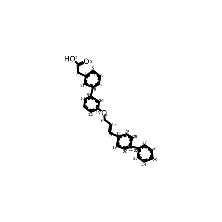 O=C(O)Cc1cccc(-c2cccc(OCC=Cc3ccc(-c4ccccc4)cc3)c2)c1